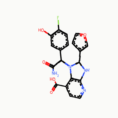 NC(=O)C(c1ccc(F)c(O)c1)N1c2c(C(=O)O)ccnc2NC1c1ccoc1